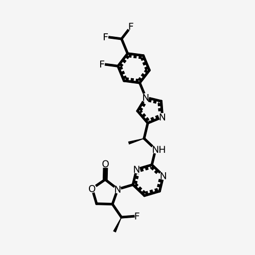 C[C@H](Nc1nccc(N2C(=O)OCC2[C@H](C)F)n1)c1cn(-c2ccc(C(F)F)c(F)c2)cn1